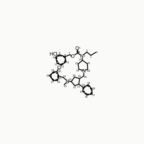 CCCN(C(=O)OCc1ccccc1)C1CCN(CC2CC(N(C)Cc3ccccc3Cl)CC2c2ccccc2)CC1.Cl